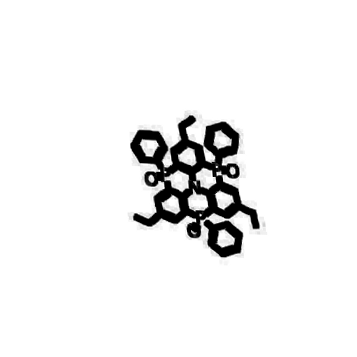 CCc1cc2c3c(c1)P(=O)(c1ccccc1)c1cc(CC)cc4c1N3c1c(cc(CC)cc1P4(=O)c1ccccc1)P2(=O)c1ccccc1